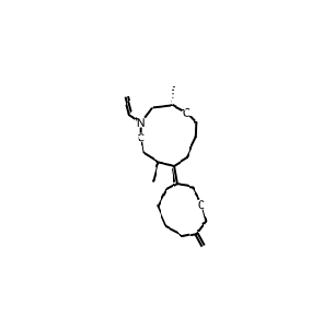 C=CN1CCC(C)/C(=C2\CCCCC(=C)CCC2)CCCC[C@@H](C)C1